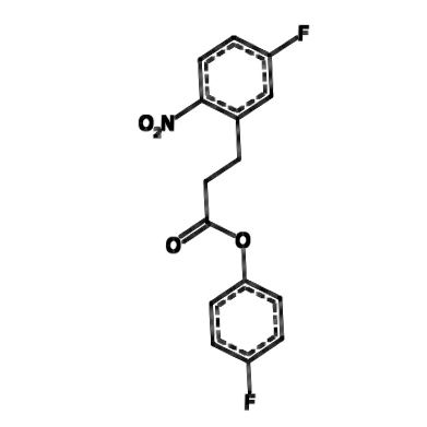 O=C(CCc1cc(F)ccc1[N+](=O)[O-])Oc1ccc(F)cc1